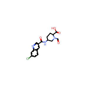 O=CN1CC(NC(=O)c2cnc3cc(Cl)ccc3c2)CCC1C(=O)O